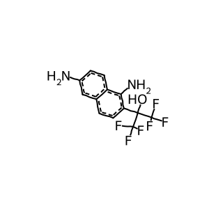 Nc1ccc2c(N)c(C(O)(C(F)(F)F)C(F)(F)F)ccc2c1